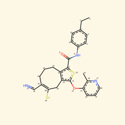 CCc1ccc(NC(=O)c2sc(Oc3cccnc3C)c3c2CCC/C(C=N)=C(/S)C3)cc1